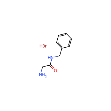 Br.NCC(=O)NCc1ccccc1